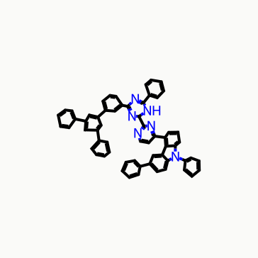 c1ccc(C2=NC(c3cccc(-c4cc(-c5ccccc5)cc(-c5ccccc5)c4)c3)=NC(c3nccc(-c4cccc5c4c4cc(-c6ccccc6)ccc4n5-c4ccccc4)n3)N2)cc1